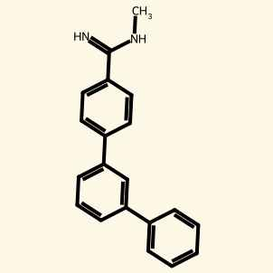 CNC(=N)c1ccc(-c2cccc(-c3ccccc3)c2)cc1